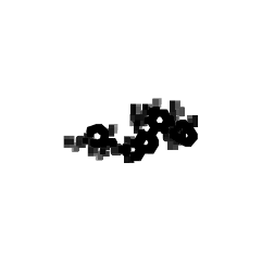 CN1CC[C@H](F)[C@](C)(COc2ncc3ccc(C4=C(C(F)(F)F)C(C)(N5C[C@H]6CC[C@@H](C5)N6)CC(N)(F)C4C#N)c(F)c3n2)C1